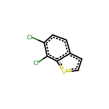 Clc1ccc2c[c]sc2c1Cl